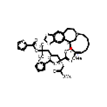 COC(=O)C[C@@](CCCC(C)(C)OC(=O)c1cccs1)(OC(=O)c1cccs1)C(=O)O[C@@H]1/C(OC)=C\CCCCN2CCc3cc4c(cc3[C@H]1C2)OCO4